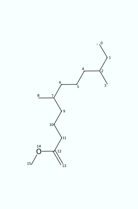 [CH2]CC(C)CCCC(C)CCCC(=C)OC